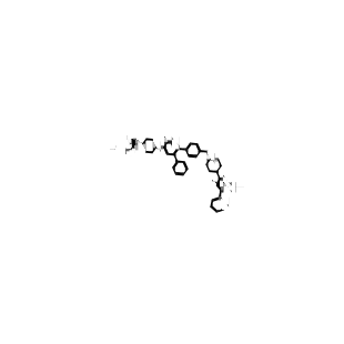 CC(C)(C)OC(=O)N1CCN(c2cc(-c3ccccc3)c(-c3ccc(CN4CCC(c5n[nH]c(-c6ccccn6)n5)CC4)cc3)nn2)CC1